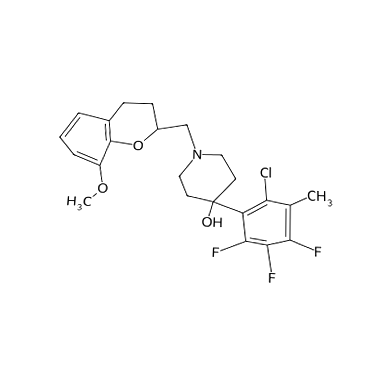 COc1cccc2c1OC(CN1CCC(O)(c3c(F)c(F)c(F)c(C)c3Cl)CC1)CC2